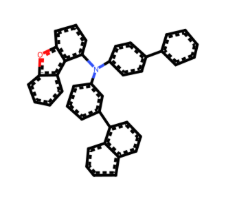 c1ccc(-c2ccc(N(c3cccc(-c4cccc5ccccc45)c3)c3cccc4oc5ccccc5c34)cc2)cc1